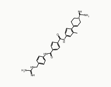 Cc1cc(NC(=O)c2ccc(C(=O)Nc3ccc(CNC(=N)N)cc3)cc2)ccc1C1=CCN(C(=N)N)CC1